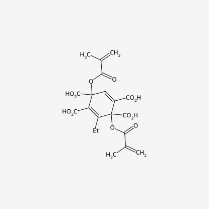 C=C(C)C(=O)OC1(C(=O)O)C=C(C(=O)O)C(OC(=O)C(=C)C)(C(=O)O)C(CC)=C1C(=O)O